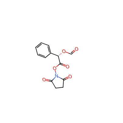 O=CO[C@H](C(=O)ON1C(=O)CCC1=O)c1ccccc1